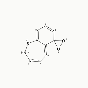 C1=CC2(OO2)C2=CC=NNSC2=C1